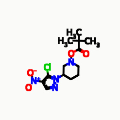 CC(C)(C)C(=O)ON1CCC[C@@H](n2ncc([N+](=O)[O-])c2Cl)C1